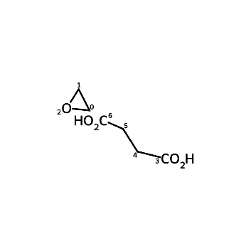 C1CO1.O=C(O)CCC(=O)O